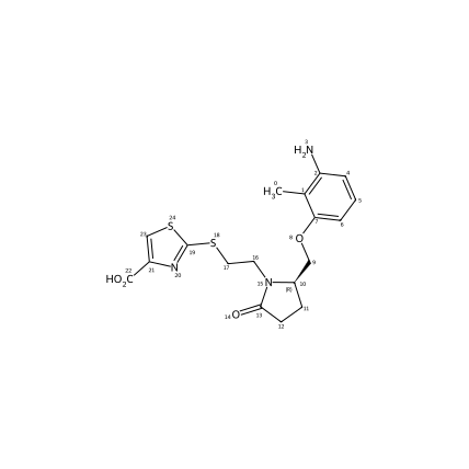 Cc1c(N)cccc1OC[C@H]1CCC(=O)N1CCSc1nc(C(=O)O)cs1